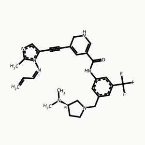 C=C/C=N\n1c(C#CC2=CC(C(=O)Nc3cc(CN4CC[C@@H](N(C)C)C4)cc(C(F)(F)F)c3)=CNC2)cnc1C